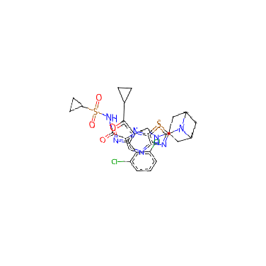 O=C(NS(=O)(=O)C1CC1)c1cnc2nc(N3C4CC(NCc5c(-c6c(Cl)cccc6Cl)noc5C5CC5)CC3C4)sc2n1